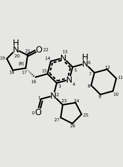 O=CN(c1nc(NC2CCCCC2)ncc1C[C@@H]1CCNC1=O)C1CCCC1